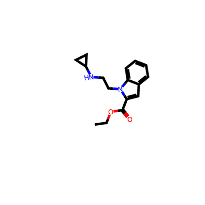 CCOC(=O)c1cc2ccccc2n1CCNC1CC1